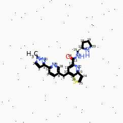 Cn1ccc(-c2ccc(Cc3cc(C(=O)NC[C@@H]4CCCN4)nc4ccsc34)cn2)n1